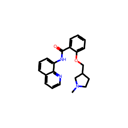 CN1CCC(COc2ccccc2C(=O)Nc2cccc3cccnc23)C1